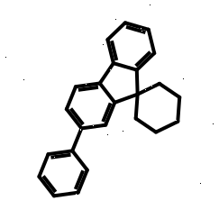 c1ccc(-c2ccc3c(c2)C2(CCCCC2)c2ccccc2-3)cc1